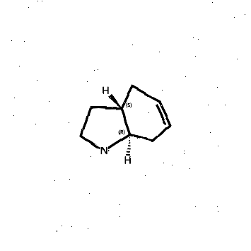 C1=CC[C@H]2[N]CC[C@@H]2C1